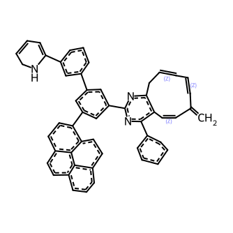 C=C1/C=C\C=C/Cc2nc(-c3cc(-c4cccc(C5=CC=CCN5)c4)cc(-c4ccc5ccc6cccc7ccc4c5c67)c3)nc(-c3ccccc3)c2/C=C\1